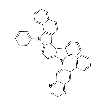 c1ccc(-c2cc3nccnc3cc2-n2c3ccccc3c3c4c5ccc6ccccc6c5n(-c5ccccc5)c4ccc32)cc1